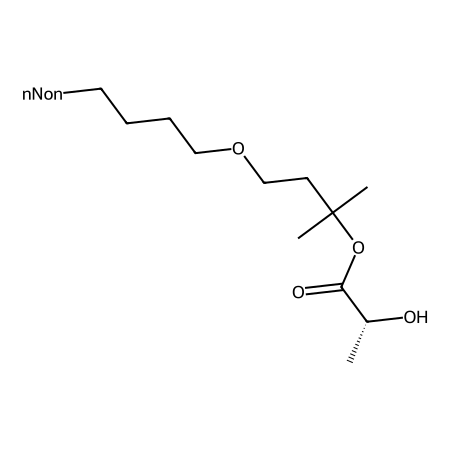 CCCCCCCCCCCCCOCCC(C)(C)OC(=O)[C@@H](C)O